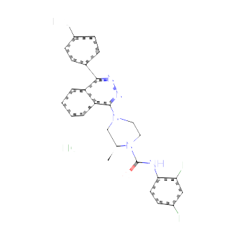 C[C@H]1CN(c2nnc(-c3ccc(C(F)(F)F)cc3)c3ccccc23)CCN1C(=O)Nc1ccc(F)cc1F.Cl